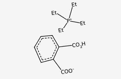 CC[P+](CC)(CC)CC.O=C([O-])c1ccccc1C(=O)O